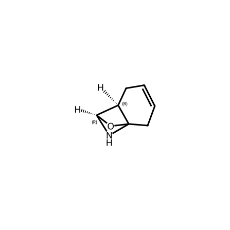 C1=CCC23N[C@H](O2)[C@H]3C1